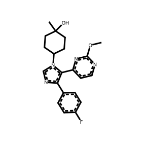 COc1nccc(-c2c(-c3ccc(F)cc3)ncn2C2CCC(C)(O)CC2)n1